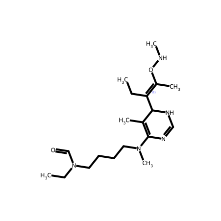 CC/C(=C(/C)ONC)C1NC=NC(N(C)CCCCN(C=O)CC)=C1C